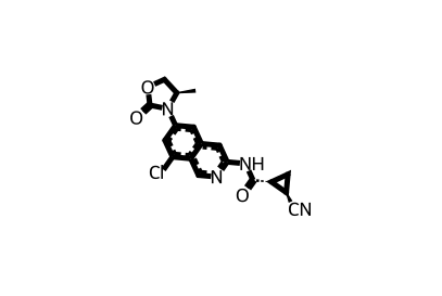 C[C@@H]1COC(=O)N1c1cc(Cl)c2cnc(NC(=O)[C@@H]3C[C@H]3C#N)cc2c1